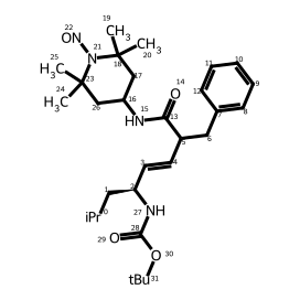 CC(C)C[C@@H](/C=C/C(Cc1ccccc1)C(=O)NC1CC(C)(C)N(N=O)C(C)(C)C1)NC(=O)OC(C)(C)C